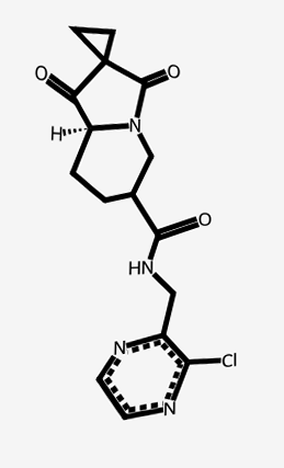 O=C(NCc1nccnc1Cl)C1CC[C@H]2C(=O)C3(CC3)C(=O)N2C1